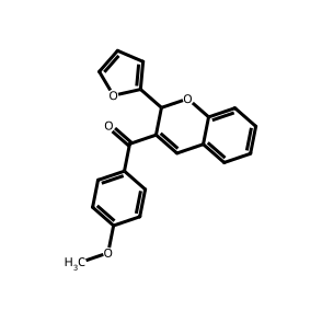 COc1ccc(C(=O)C2=Cc3ccccc3OC2c2ccco2)cc1